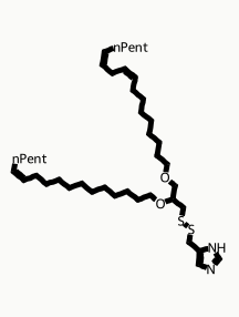 CCCCC/C=C\C/C=C\CCCCCCCCOCC(CSSCc1cnc[nH]1)OCCCCCCCCCCC/C=C\CCCCC